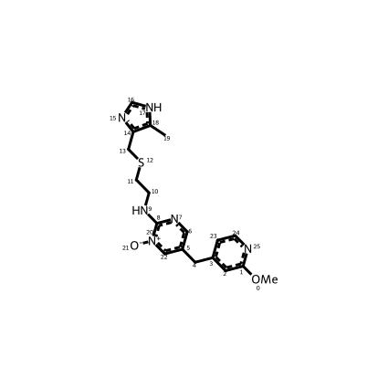 COc1cc(Cc2cnc(NCCSCc3nc[nH]c3C)[n+]([O-])c2)ccn1